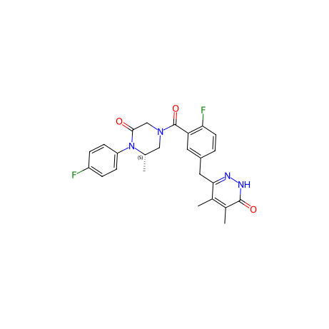 Cc1c(Cc2ccc(F)c(C(=O)N3CC(=O)N(c4ccc(F)cc4)[C@@H](C)C3)c2)n[nH]c(=O)c1C